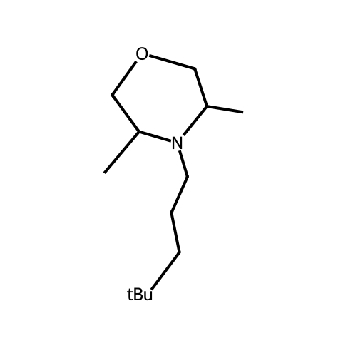 CC1COCC(C)N1CCCC(C)(C)C